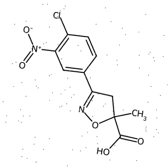 CC1(C(=O)O)CC(c2ccc(Cl)c([N+](=O)[O-])c2)=NO1